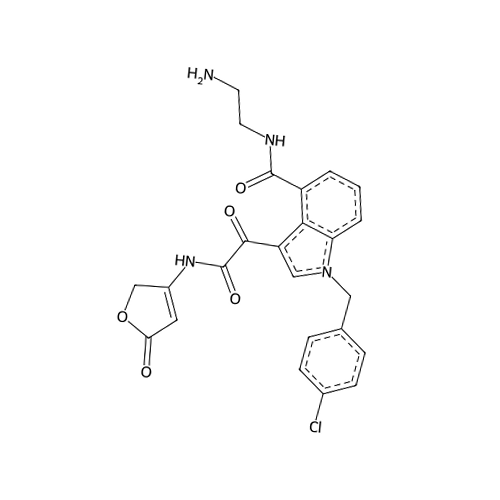 NCCNC(=O)c1cccc2c1c(C(=O)C(=O)NC1=CC(=O)OC1)cn2Cc1ccc(Cl)cc1